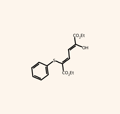 CCOC(=O)/C(O)=C/C=C(\Sc1ccccc1)C(=O)OCC